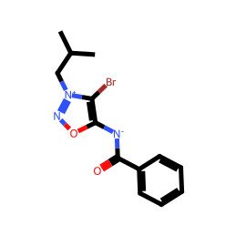 CC(C)C[n+]1noc([N-]C(=O)c2ccccc2)c1Br